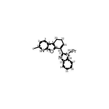 Cc1ccc2c3c(oc2n1)C(c1nc2ccccc2n1C(C)C)=CCC3